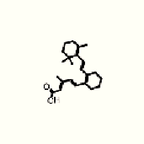 CC(C=CC1=C(C=CC2=C(C)CCCC2(C)C)CCCC1)=CC(=O)O